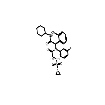 C[C@@H](NS(=O)(=O)N1CC1)C(=O)N(c1cccc(F)c1)C(C(=O)NC1CCCCC1)c1ccccc1Cl